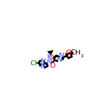 CC12CCC(c3cn4cc(C(=O)Nc5ccn6cc(Cl)cnc56)c(OC5CC5)cc4n3)(CO1)C2